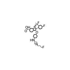 CC(F)(F)c1cc(F)ccc1-c1sc2cc(C(=O)O)ccc2c1Oc1ccc(NC2CN(CCCF)C2)cc1